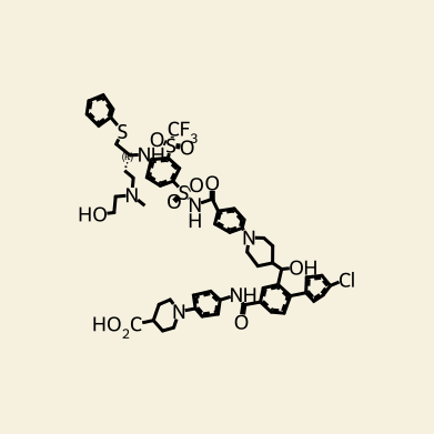 CN(CCO)CC[C@H](CSc1ccccc1)Nc1ccc(S(=O)(=O)NC(=O)c2ccc(N3CCC(C(O)c4cc(C(=O)Nc5ccc(N6CCC(C(=O)O)CC6)cc5)ccc4-c4ccc(Cl)cc4)CC3)cc2)cc1S(=O)(=O)C(F)(F)F